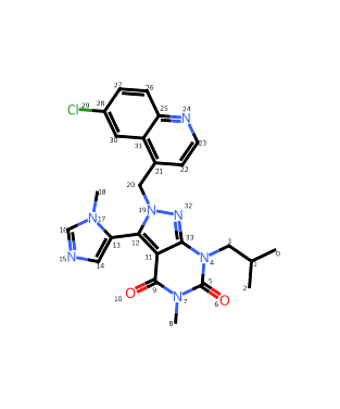 CC(C)Cn1c(=O)n(C)c(=O)c2c(-c3cncn3C)n(Cc3ccnc4ccc(Cl)cc34)nc21